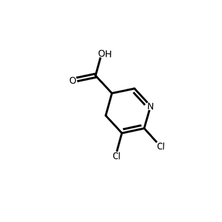 O=C(O)C1C=NC(Cl)=C(Cl)C1